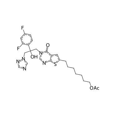 CC(=O)OCCCCCCCc1cc2c(=O)n(CC(O)(Cn3cncn3)c3ccc(F)cc3F)cnc2s1